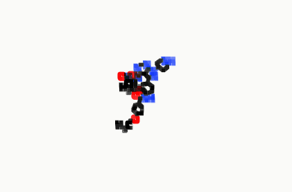 CC(=O)O.CCOc1ccc(C(=O)Nc2ccc(-c3nn(C4CCNCC4)c4ncnc(N)c34)cc2OC)cc1